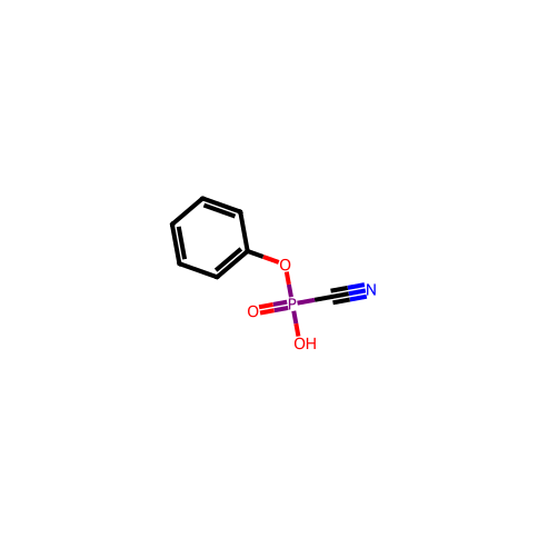 N#CP(=O)(O)Oc1ccccc1